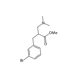 COC(=O)C(Cc1cccc(Br)c1)CN(C)C